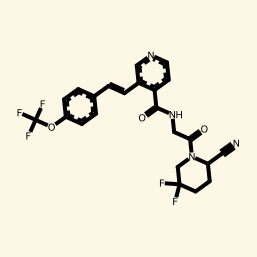 N#CC1CCC(F)(F)CN1C(=O)CNC(=O)c1ccncc1/C=C/c1ccc(OC(F)(F)F)cc1